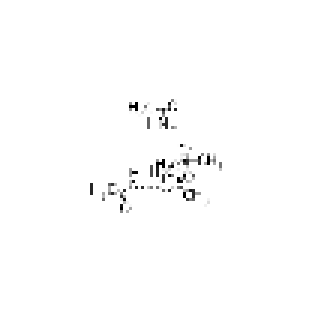 CC(=O)NCCC[Si](C)(C)O[Si](C)(C)CCCNC(C)=O